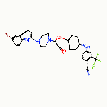 N#Cc1ccc(NC2CCC(OC(C=O)N3CCN(c4ccc5cc(Br)ccc5n4)CC3)CC2)cc1C(F)(F)F